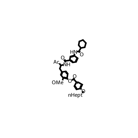 CCCCCCCOc1ccc(C(=O)Oc2ccc(CC(NC(=O)c3cccc(NC(=O)C4CCCCC4)c3)C(C)=O)cc2OC)cc1